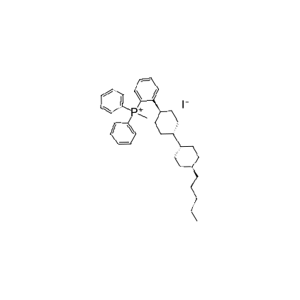 CCCCC[C@H]1CC[C@H]([C@H]2CC[C@H](c3ccccc3[P+](C)(c3ccccc3)c3ccccc3)CC2)CC1.[I-]